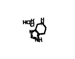 Cl.Cl.c1nc2c([nH]1)CCNC2